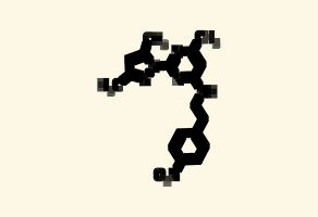 Cc1cc(NCCc2ccc([N+](=O)[O-])cc2)nc(-n2nc(C)cc2C)n1